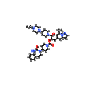 Cc1cc(C[C@@H](OC(=O)N2CCC(N3CCc4ccccc4NC3=O)CC2)C(=O)N2CCC(N3CCN(C)CC3)CC2)cc2ccnn12